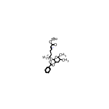 CC1CC(OC(=O)c2ccccc2)C(O[C@H](C)CC/C=C/C(=O)OC(C)(C)C)OC1C